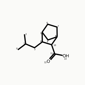 CC(C)CC1C2CCC(C2)C1C(=O)O